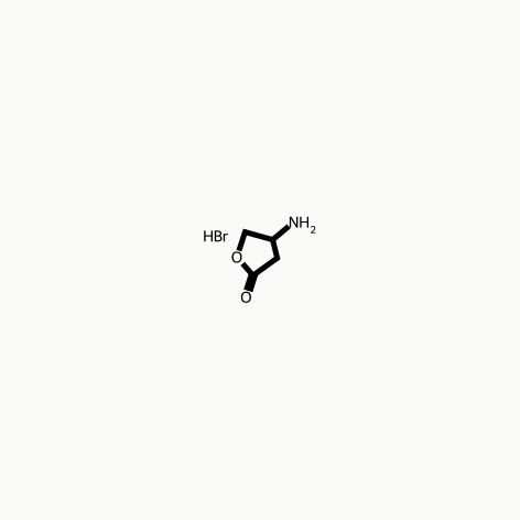 Br.NC1COC(=O)C1